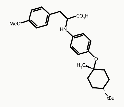 COc1ccc(CC(Nc2ccc(O[C@]3(C)CC[C@H](C(C)(C)C)CC3)cc2)C(=O)O)cc1